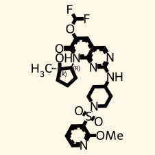 COc1ncccc1S(=O)(=O)N1CCC(Nc2ncc3cc(OC(F)F)c(=O)n([C@@H]4CCC[C@@]4(C)O)c3n2)CC1